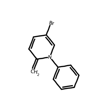 C=C1C=CC(Br)=CN1c1ccccc1